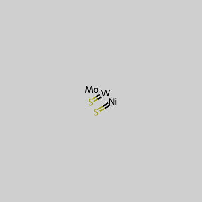 [Mo].[S]=[Ni].[S]=[W]